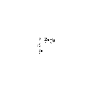 [Hg].[P].[S].[Zn].[Zn]